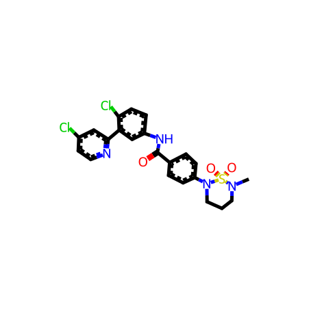 CN1CCCN(c2ccc(C(=O)Nc3ccc(Cl)c(-c4cc(Cl)ccn4)c3)cc2)S1(=O)=O